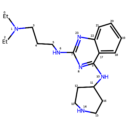 CCN(CC)CCCNc1nc(NC2CCNCC2)c2ccccc2n1